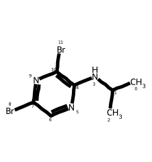 CC(C)Nc1ncc(Br)nc1Br